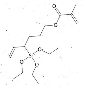 C=CC(CCCOC(=O)C(=C)C)[Si](OCC)(OCC)OCC